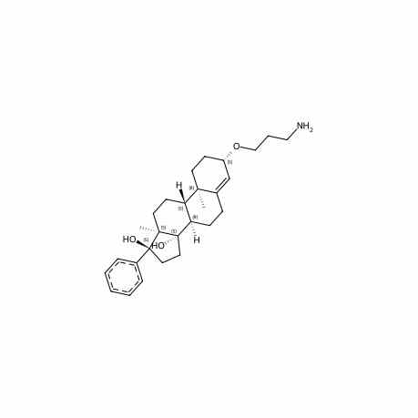 C[C@]12CC[C@H]3[C@@H](CCC4=C[C@@H](OCCCN)CC[C@@]43C)[C@@]1(O)CC[C@]2(O)c1ccccc1